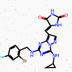 O=C1NC(=O)C(=Cc2cnn3c(NC4CC4)nc(NCc4ccc(F)cc4Br)nc23)N1